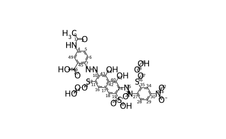 CC(=O)Nc1ccc(/N=N/c2c(SOOO)cc3cc(S(=O)(=O)O)c(/N=N/c4ccc([N+](=O)[O-])cc4SOOO)c(O)c3c2O)c(C(=O)O)c1